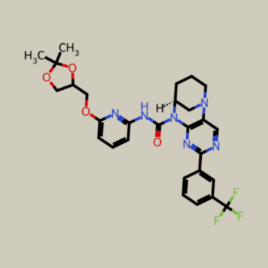 CC1(C)OCC(COc2cccc(NC(=O)N3c4nc(-c5cccc(C(F)(F)F)c5)ncc4N4CCC[C@H]3C4)n2)O1